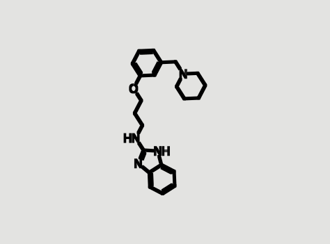 c1cc(CN2CCCCC2)cc(OCCCNc2nc3ccccc3[nH]2)c1